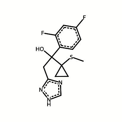 CSC1(C(O)(Cc2nc[nH]n2)c2ccc(F)cc2F)CC1